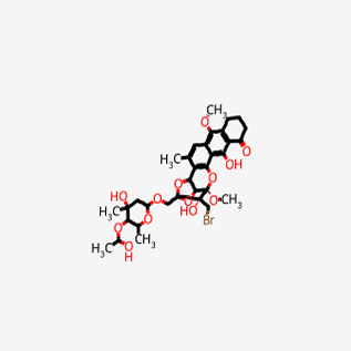 COc1c2c(c(O)c3c4c(c(C)cc13)C1OC3(COC5CC(C)(O)C(OC(C)O)C(C)O5)OC1[C@@](OC)(O4)[C@@]3(O)CBr)C(=O)CCC2